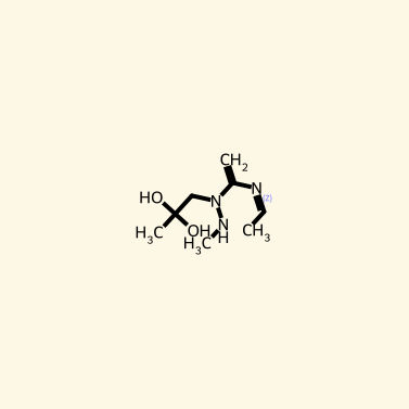 C=C(/N=C\C)N(CC(C)(O)O)NC